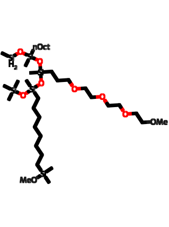 CCCCCCCC[Si](C)(O[SiH2]C)O[Si](C)(CCCOCCOCCOCCOC)O[Si](C)(CCCCCCCC[Si](C)(C)OC)O[Si](C)(C)C